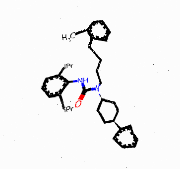 Cc1ccccc1CCCCN(C(=O)Nc1c(C(C)C)cccc1C(C)C)[C@H]1CC[C@H](c2ccccc2)CC1